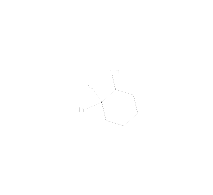 CCCC1CCCC[C]1([Al])CCC